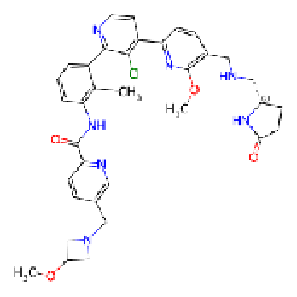 COc1nc(-c2ccnc(-c3cccc(NC(=O)c4ccc(CN5CC(OC)C5)cn4)c3C)c2Cl)ccc1CNC[C@@H]1CCC(=O)N1